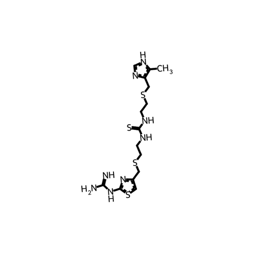 Cc1[nH]cnc1CSCCNC(=S)NCCSCc1csc(NC(=N)N)n1